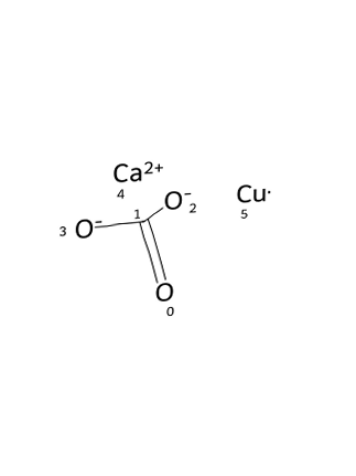 O=C([O-])[O-].[Ca+2].[Cu]